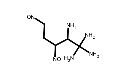 NC(C(CCN=O)N=O)C(N)(N)N